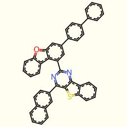 c1ccc(-c2ccc(-c3cc(-c4nc(-c5ccc6ccccc6c5)c5sc6ccccc6c5n4)c4c(c3)oc3ccccc34)cc2)cc1